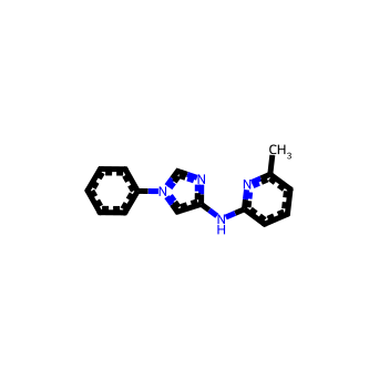 Cc1cccc(Nc2cn(-c3ccccc3)cn2)n1